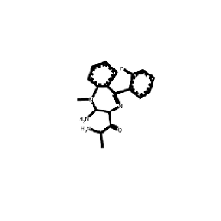 CC(N)C(=O)C1N=C(c2ccccc2F)c2ccccc2N(C)C1N